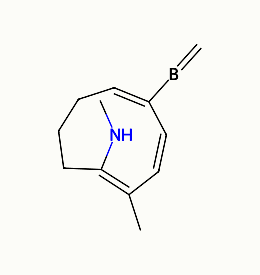 C=BC1=C/CCC/C(NC)=C(C)/C=C\1